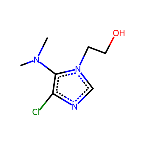 CN(C)c1c(Cl)ncn1CCO